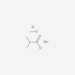 CC(C)C(=O)[O-].C[O-].[K+].[Na+]